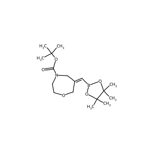 CC(C)(C)OC(=O)N1CCOCC(=CB2OC(C)(C)C(C)(C)O2)C1